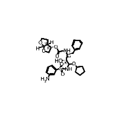 Nc1cccc(S(=O)(=O)NC(OC2CCCC2)[C@H](O)[C@H](Cc2ccccc2)NC(=O)O[C@@H]2CO[C@@H]3OCC[C@@H]32)c1